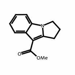 COC(=O)c1c2n(c3ccccc13)CCC2